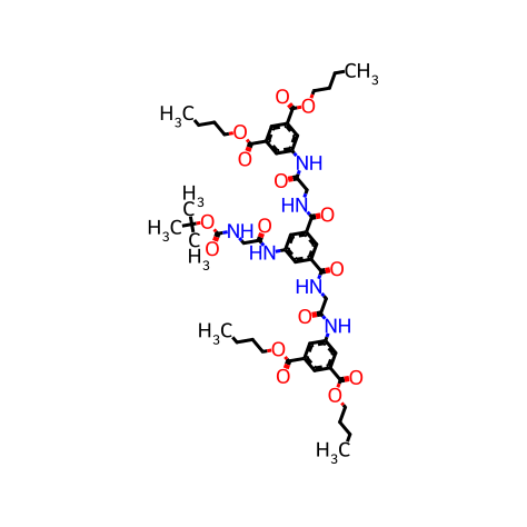 CCCCOC(=O)c1cc(NC(=O)CNC(=O)c2cc(NC(=O)CNC(=O)OC(C)(C)C)cc(C(=O)NCC(=O)Nc3cc(C(=O)OCCCC)cc(C(=O)OCCCC)c3)c2)cc(C(=O)OCCCC)c1